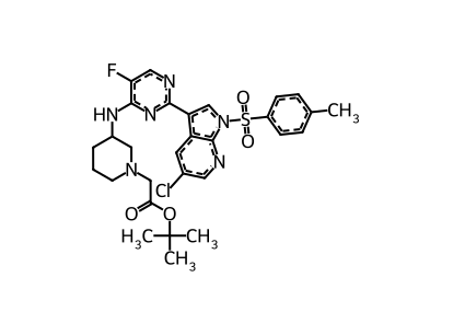 Cc1ccc(S(=O)(=O)n2cc(-c3ncc(F)c(NC4CCCN(CC(=O)OC(C)(C)C)C4)n3)c3cc(Cl)cnc32)cc1